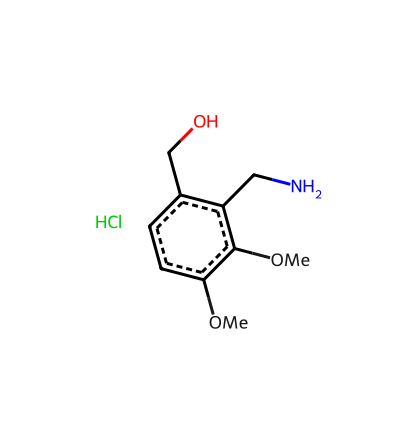 COc1ccc(CO)c(CN)c1OC.Cl